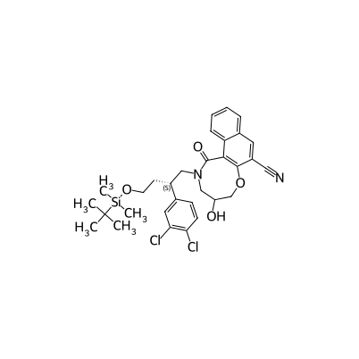 CC(C)(C)[Si](C)(C)OCC[C@H](CN1CC(O)COc2c(C#N)cc3ccccc3c2C1=O)c1ccc(Cl)c(Cl)c1